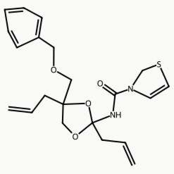 C=CCC1(COCc2ccccc2)COC(CC=C)(NC(=O)N2C=CSC2)O1